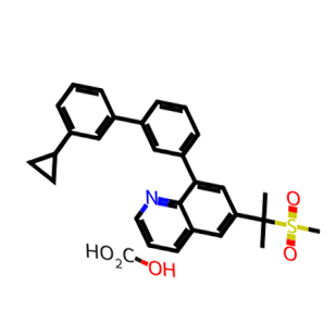 CC(C)(c1cc(-c2cccc(-c3cccc(C4CC4)c3)c2)c2ncccc2c1)S(C)(=O)=O.O=C(O)O